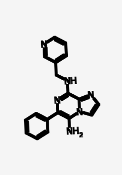 Nc1c(-c2ccccc2)nc(NCc2cccnc2)c2nccn12